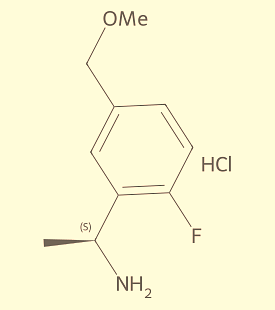 COCc1ccc(F)c([C@H](C)N)c1.Cl